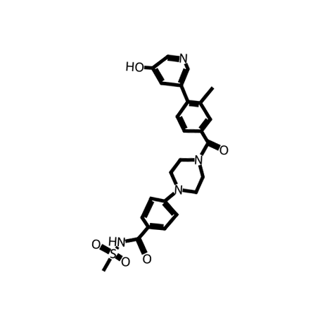 Cc1cc(C(=O)N2CCN(c3ccc(C(=O)NS(C)(=O)=O)cc3)CC2)ccc1-c1cncc(O)c1